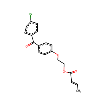 CC=CC(=O)OCCOc1ccc(C(=O)c2ccc(Br)cc2)cc1